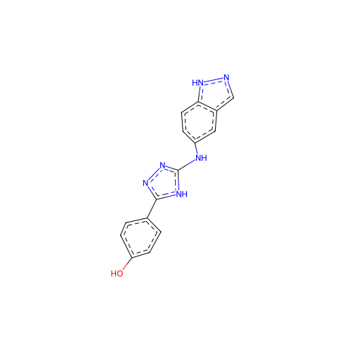 Oc1ccc(-c2nnc(Nc3ccc4[nH]ncc4c3)[nH]2)cc1